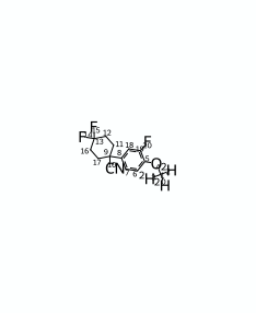 [2H]C([2H])([2H])Oc1ccc(C2(C#N)CCC(F)(F)CC2)cc1F